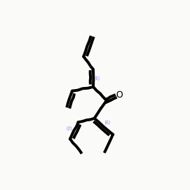 C=C/C=C(\C=C)C(=O)C(/C=C\C)=C/C